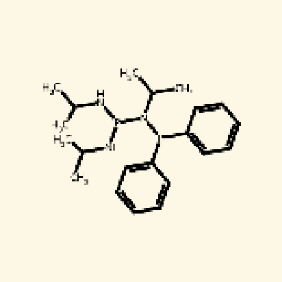 CC(C)NP(NC(C)C)N(C(C)C)P(c1ccccc1)c1ccccc1